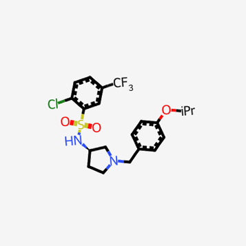 CC(C)Oc1ccc(CN2CC[C@@H](NS(=O)(=O)c3cc(C(F)(F)F)ccc3Cl)C2)cc1